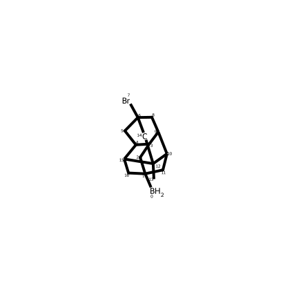 BC12CC3C4CC5(Br)CC3C(C1)C(C)(C5)C4C2